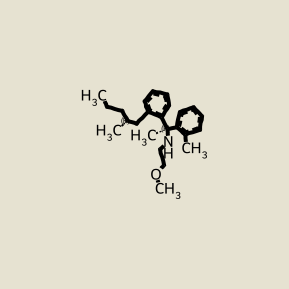 CCC[C@@H](C)Cc1ccccc1[C@](C)(NCCOC)c1ccccc1C